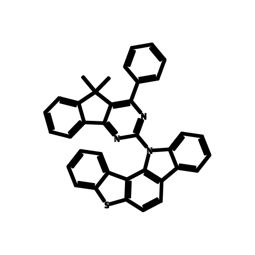 CC1(C)c2ccccc2-c2nc(-n3c4ccccc4c4ccc5sc6ccccc6c5c43)nc(-c3ccccc3)c21